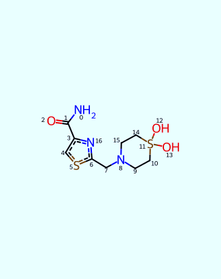 NC(=O)c1csc(CN2CCS(O)(O)CC2)n1